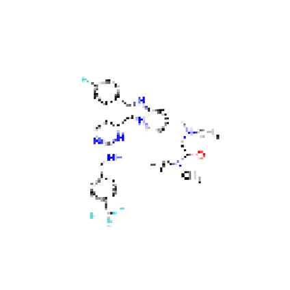 CN(CC(=O)N(C)C)Cc1ccn2c(-c3ccnc(NCc4ccc(C(F)(F)F)cc4)n3)c(-c3ccc(F)cc3)nc2c1